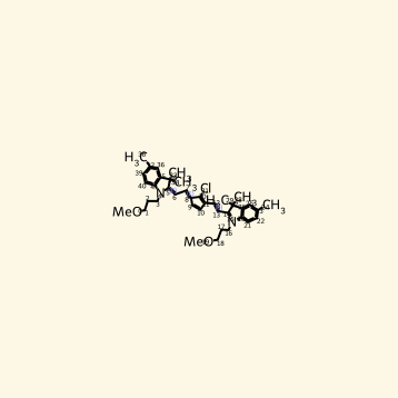 COCCCN1/C(=C/C=C2\C=CC(/C=C/C3=[N+](CCCOC)c4ccc(C)cc4C3(C)C)=C2Cl)C(C)(C)c2cc(C)ccc21